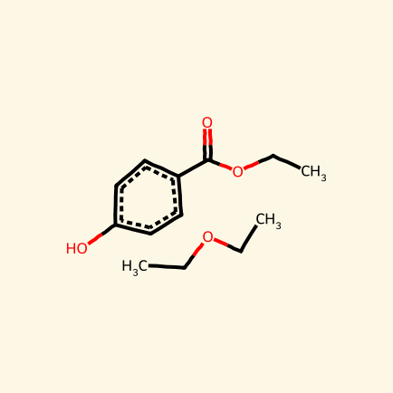 CCOC(=O)c1ccc(O)cc1.CCOCC